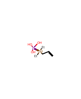 C=CC[SH](CC)(CC)=P(O)(O)O